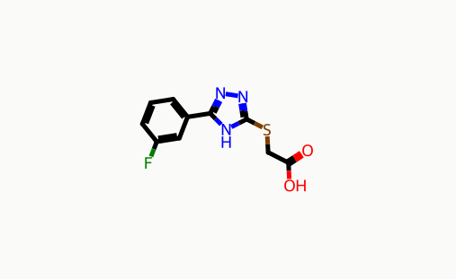 O=C(O)CSc1nnc(-c2cccc(F)c2)[nH]1